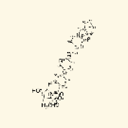 CC1(C(=O)O)CC(O)CN1C(=O)c1ccc(-c2ccc(OCC3CCN(CC4(C(F)(F)F)CCC4)CC3)nc2)cc1F